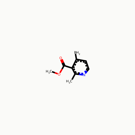 Bc1ccnc(C)c1C(=O)OC